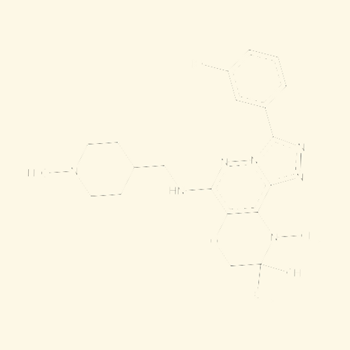 CN1CCC(CNc2nn3c(-c4cccc(O)c4)nnc3c3c2OCC(C)(C)N3C)CC1